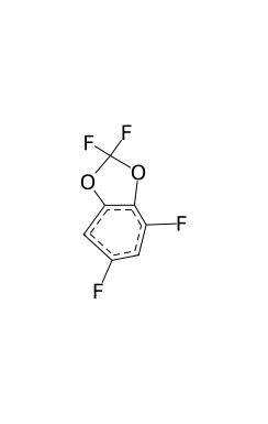 Fc1cc(F)c2c(c1)OC(F)(F)O2